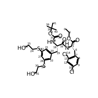 CCOC(=O)[C@H](Cc1ccc(Cl)cc1Cl)NC(=O)[C@H](Cc1cc(SCCO)cc(SCCO)c1)NC(=O)OC(C)(C)C